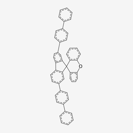 c1ccc(-c2ccc(-c3ccc4c(c3)C3(c5ccccc5Oc5ccccc53)c3cc(-c5ccc(-c6ccccc6)cc5)ccc3-4)cc2)cc1